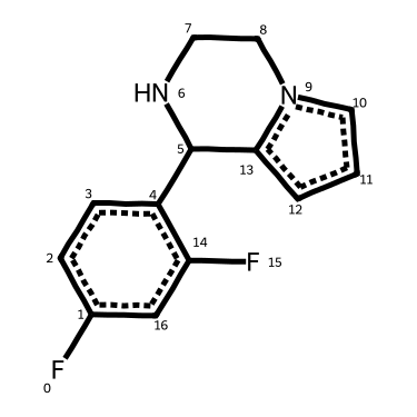 Fc1ccc(C2NCCn3cccc32)c(F)c1